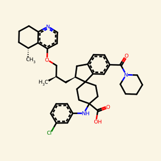 C[C@@H](COc1ccnc2c1[C@H](C)CCC2)C[C@H]1Cc2ccc(C(=O)N3CCCCC3)cc2C12CCC(Nc1cccc(Cl)c1)(C(=O)O)CC2